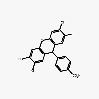 O=C(O)c1ccc(C2c3cc(Cl)c(O)cc3Oc3cc(O)c(Cl)cc32)cc1